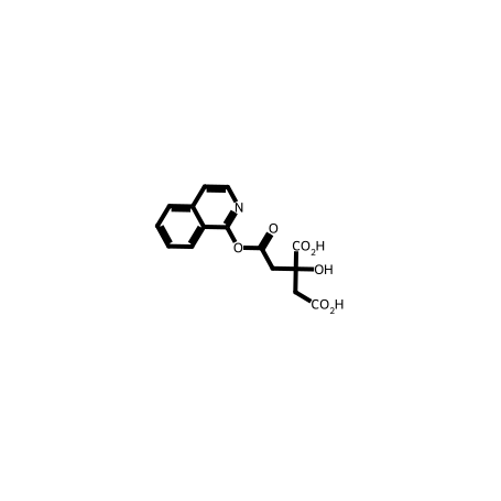 O=C(O)CC(O)(CC(=O)Oc1nccc2ccccc12)C(=O)O